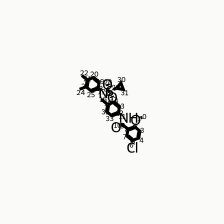 COc1ccc(Cl)cc1C(=O)Nc1ccc(CN(c2ccc(C)c(C)c2)S(=O)(=O)C2CC2)cc1